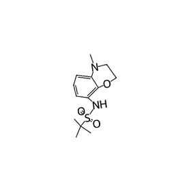 CN1CCOc2c(NS(=O)(=O)C(C)(C)C)cccc21